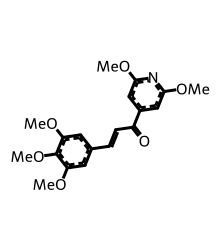 COc1cc(C(=O)/C=C/c2cc(OC)c(OC)c(OC)c2)cc(OC)n1